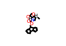 CC[C@@H]1CN(C(=O)OCC2c3ccccc3-c3ccccc32)[C@H]2C(=O)CO[C@H]12